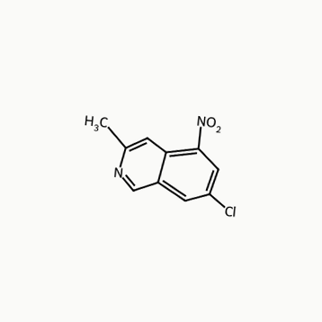 Cc1cc2c([N+](=O)[O-])cc(Cl)cc2cn1